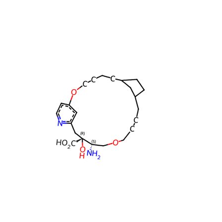 N[C@H]1COCCCCC2CCC(CCCCOc3ccnc(c3)C[C@]1(O)C(=O)O)C2